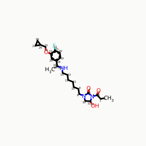 CCC(=O)N1C(=O)N(CCCCCCCN[C@H](C)c2ccc(F)c(OCC3CC3)c2)CC1O